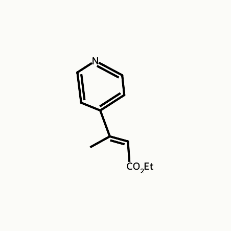 CCOC(=O)C=C(C)c1ccncc1